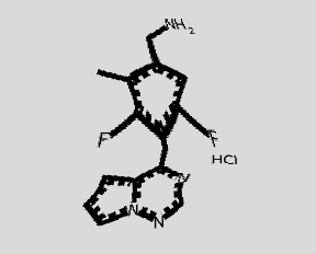 Cc1c(CN)cc(F)c(-c2ncnn3cccc23)c1F.Cl